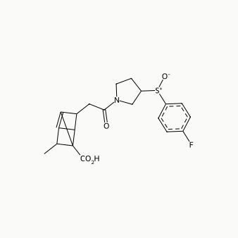 CC1C2=C3C(CC(=O)N4CCC([S+]([O-])c5ccc(F)cc5)C4)C2C31C(=O)O